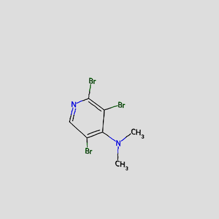 CN(C)c1c(Br)cnc(Br)c1Br